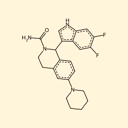 NC(=O)N1CCc2cc(N3CCCCC3)ccc2C1c1c[nH]c2cc(F)c(F)cc12